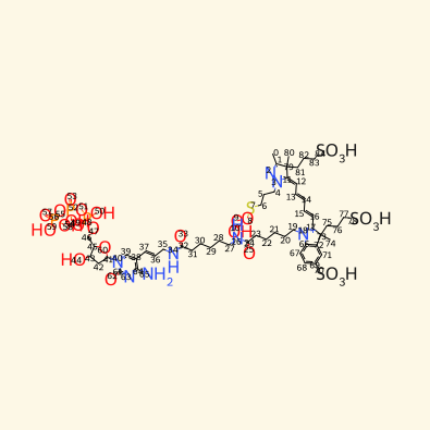 CC1=NN(CCCSOOO)\C(=C/C=C/C=C/C2=[N+](CCCCCC(=O)NCCCCCC(=O)NC/C=C/c3cn([C@H]4C[C@@H](O)[C@@H](COP(=O)(O)OP(=O)(O)OP(=O)(O)O)O4)c(=O)nc3N)c3ccc(S(=O)(=O)O)cc3C2(C)CCCS(=O)(=O)O)C1(C)CCCS(=O)(=O)O